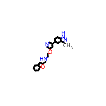 Cc1n[nH]c2ccc(-c3cncc(OCCNCc4cc5ccccc5o4)c3)cc12